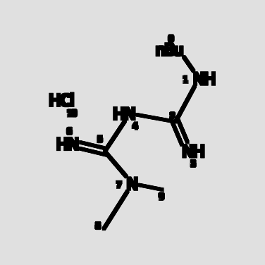 CCCCNC(=N)NC(=N)N(C)C.Cl